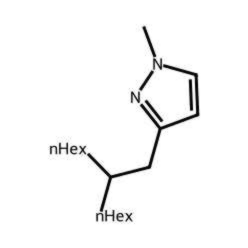 CCCCCCC(CCCCCC)Cc1ccn(C)n1